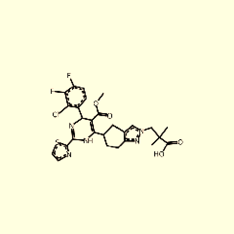 COC(=O)C1=C(C2CCc3nn(CC(C)(C)C(=O)O)cc3C2)NC(c2nccs2)=NC1c1ccc(F)c(F)c1Cl